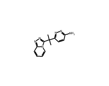 CC(C)(c1ccc(N)nn1)c1nnc2ccccn12